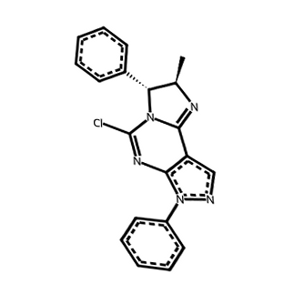 C[C@H]1N=C2c3cnn(-c4ccccc4)c3N=C(Cl)N2[C@@H]1c1ccccc1